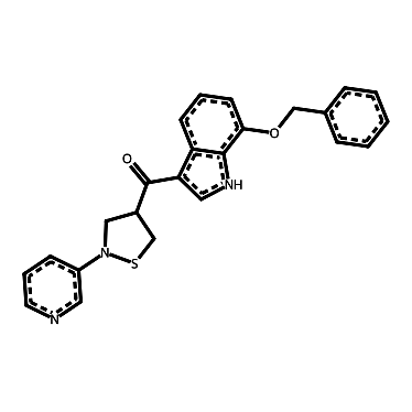 O=C(c1c[nH]c2c(OCc3ccccc3)cccc12)C1CSN(c2cccnc2)C1